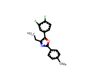 COc1ccc(-c2nc(CC(=O)O)c(-c3ccc(F)c(F)c3)o2)cc1